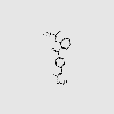 CC(=Cc1ccc(C(=O)c2ccccc2C=C(C)C(=O)O)cc1)C(=O)O